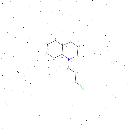 ClCCCN1CCCC2CCCCC21